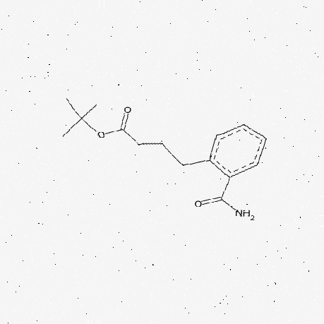 CC(C)(C)OC(=O)C[CH]Cc1ccccc1C(N)=O